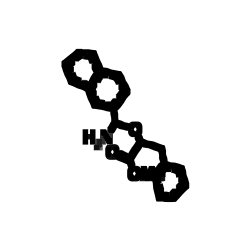 COC(=O)C(Cc1ccccc1)OC(N)c1ccc2ccccc2c1